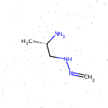 C=NNC[C@H](C)N